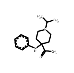 CC(=O)C1(Nc2ccccc2)CCN(C(C)C)CC1